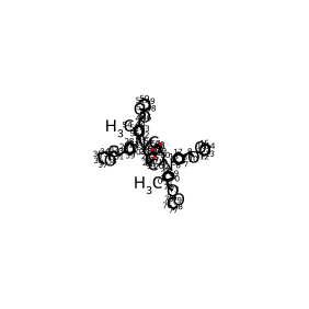 Cc1cc(N(c2ccc(COC3CCCCO3)cc2)C2CCC3=C4CC(N(c5ccc(COC6CCCCO6)cc5)c5ccc(COC6CCCCO6)c(C)c5)CCC5=C(C2)C(=C4C=CC5)C=CC3)ccc1COC1CCCCO1